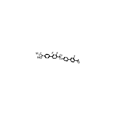 CC(O)c1ccc(-c2ccc(C(=O)Oc3ccc(-c4ccc(C5CO5)c(F)c4)cc3)c(F)c2F)cc1